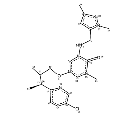 Cc1cc(CNc2cc(OCC(C)[C@H](C)c3ccc(Cl)cn3)nn(C)c2=O)n(C)n1